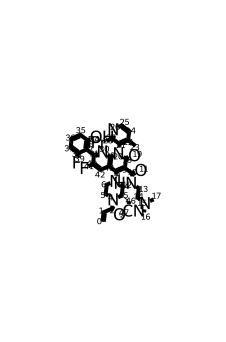 C=CC(=O)N1CCN(c2c(C(=O)NCCN(C)C)c(=O)n(-c3c(C)ccnc3C(C)C)c3nc(-c4c(O)cccc4F)c(F)cc23)C[C@@H]1CC#N